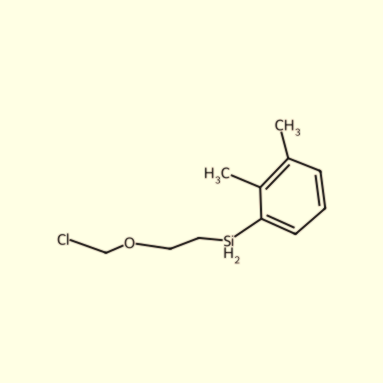 Cc1cccc([SiH2]CCOCCl)c1C